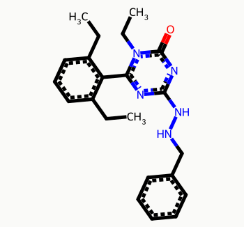 CCc1cccc(CC)c1-c1nc(NNCc2ccccc2)nc(=O)n1CC